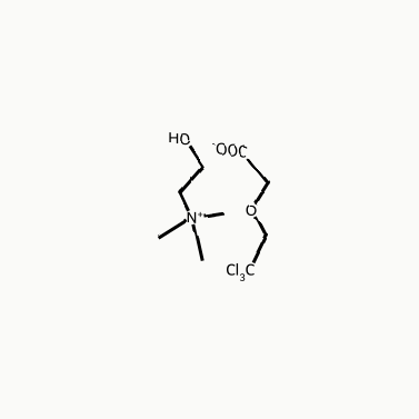 C[N+](C)(C)CCO.O=C([O-])COCC(Cl)(Cl)Cl